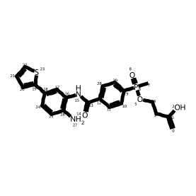 C=C(O)CCOP(C)(=O)c1ccc(C(=O)Nc2cc(-c3cccs3)ccc2N)cc1